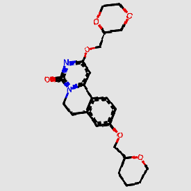 O=c1nc(OC[C@@H]2COCCO2)cc2n1CCc1cc(OCC3CCCCO3)ccc1-2